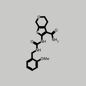 COc1ccccc1CNC(=O)Nc1sc2c(c1C(N)=O)CCOC2